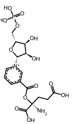 N[C@@](CCC(=O)O)(OC(=O)c1ccc[n+]([C@@H]2O[C@H](COP(=O)(O)O)[C@@H](O)[C@H]2O)c1)C(=O)O